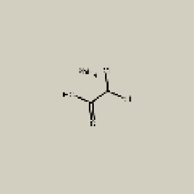 O=C(O)C(Cl)Cl.[PbH4]